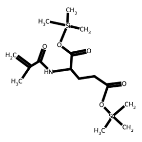 C=C(C)C(=O)NC(CCC(=O)O[Si](C)(C)C)C(=O)O[Si](C)(C)C